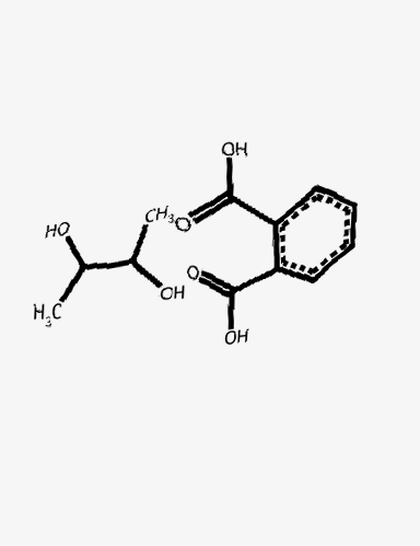 CC(O)C(C)O.O=C(O)c1ccccc1C(=O)O